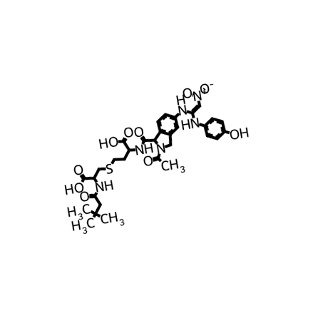 CC(=O)N1Cc2cc(N/C(=C\[N+](=O)[O-])Nc3ccc(O)cc3)ccc2C1C(=O)NC(CCSCC(NC(=O)CC(C)(C)C)C(=O)O)C(=O)O